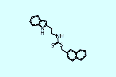 S=C(NCCc1cc2ccccc2[nH]1)SCc1ccc2ccccc2c1